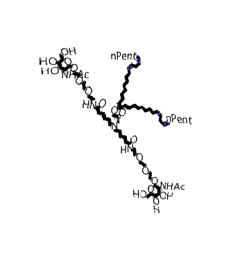 CCCCC/C=C\C/C=C\CCCCCCCCC1(CCCCCCCC/C=C\C/C=C\CCCCC)OC[C@H](CN(CCCCCC(=O)NCCOCCOCCO[C@@H]2OC(CO)[C@H](O)C(O)[C@@H]2NC(C)=O)CCCCCC(=O)NCCOCCOCCO[C@@H]2OC(CO)[C@H](O)C(O)[C@@H]2NC(C)=O)O1